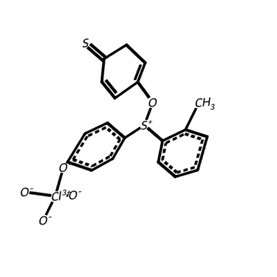 Cc1ccccc1[S+](OC1=CCC(=S)C=C1)c1ccccc1.[O-][Cl+3]([O-])([O-])[O-]